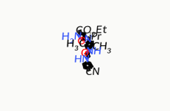 CCOC(=O)C(N)CC(=O)N(c1cc(C)c(NC(=O)CNc2ccc(C#N)cc2)cc1C)C(C)C